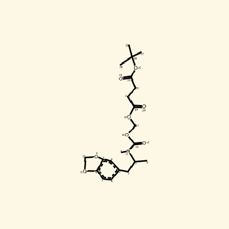 CC(Cc1ccc2c(c1)OCO2)N(C)C(=O)OCOC(=O)CCC(=O)OC(C)(C)C